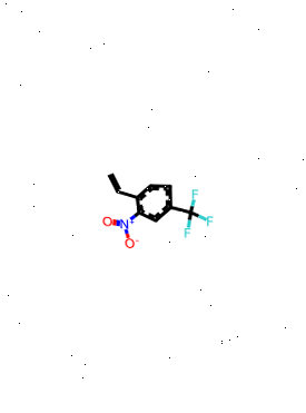 C=Cc1ccc(C(F)(F)F)cc1[N+](=O)[O-]